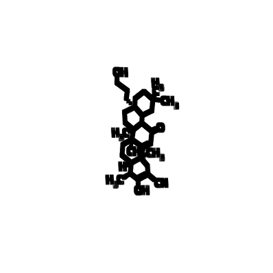 C[C@@H]1C(O)=C(C#N)C[C@]2(C)C3=CC(=O)C4C5CC(C)(C)CC[C@]5(CCCO)CC[C@@]4(C)[C@]3(C)CC[C@@H]12